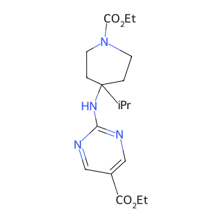 CCOC(=O)c1cnc(NC2(C(C)C)CCN(C(=O)OCC)CC2)nc1